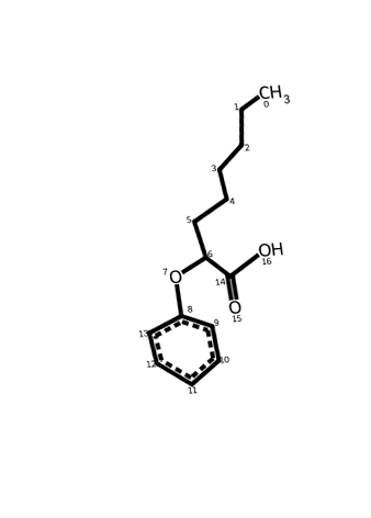 CCCCCCC(Oc1ccccc1)C(=O)O